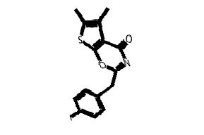 Cc1sc2oc(Cc3ccc(I)cc3)nc(=O)c2c1C